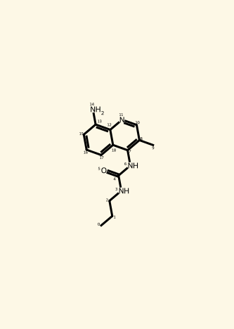 CCCNC(=O)Nc1c(C)cnc2c(N)cccc12